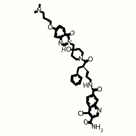 CN(C)CCCOc1ccc2c(=O)n(CC3(O)CCN(C(=O)[C@@H](CCCNC(=O)c4ccc5c(Cl)c(C(N)=O)cnc5c4)Cc4ccccc4)CC3)cnc2c1